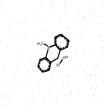 CCO.CN1c2ccccc2Cc2ccccc21